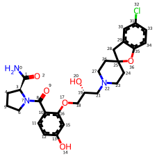 NC(=O)[C@@H]1CCCN1C(=O)c1ccc(O)cc1OC[C@H](O)CN1CCC2(CC1)Cc1cc(Cl)ccc1O2